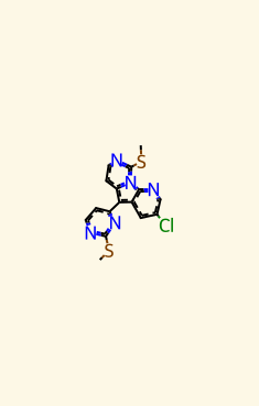 CSc1nccc(-c2c3cc(Cl)cnc3n3c(SC)nccc23)n1